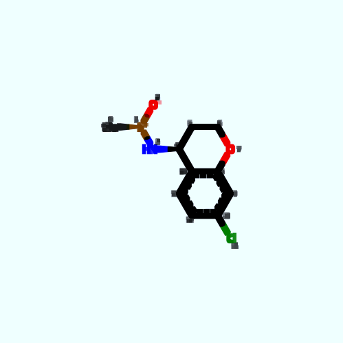 CC(C)(C)[S@@+]([O-])N[C@H]1CCOc2cc(Cl)ccc21